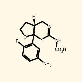 Nc1ccc(F)c([C@@]23OCC[C@@H]2CN=C(NC(=O)O)S3)c1